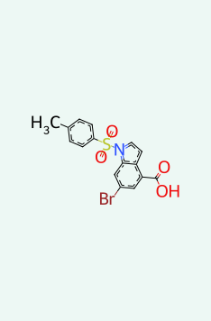 Cc1ccc(S(=O)(=O)n2ccc3c(C(=O)O)cc(Br)cc32)cc1